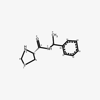 CC(NC(=O)[C@@H]1CSCN1)c1ccccc1